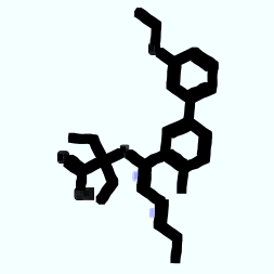 CC/C=C/C=C(/SC(CC)(CC)C(=O)O)c1cc(-c2cccc(OCC)c2)ccc1C